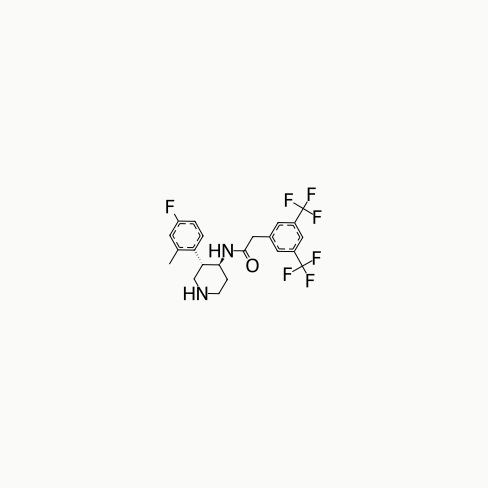 Cc1cc(F)ccc1[C@H]1CNCC[C@@H]1NC(=O)Cc1cc(C(F)(F)F)cc(C(F)(F)F)c1